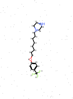 FC(F)(F)c1ccc(OCCCCCCCCN2CCNCC2)cc1